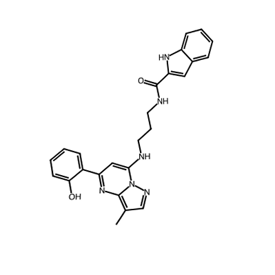 Cc1cnn2c(NCCCNC(=O)c3cc4ccccc4[nH]3)cc(-c3ccccc3O)nc12